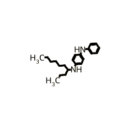 CCCCCCC(CCC)Nc1ccc(Nc2ccccc2)cc1